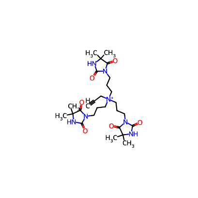 C#CC[N+](CCCN1C(=O)NC(C)(C)C1=O)(CCCN1C(=O)NC(C)(C)C1=O)CCCN1C(=O)NC(C)(C)C1=O